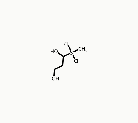 C[Si](Cl)(Cl)C(O)CCO